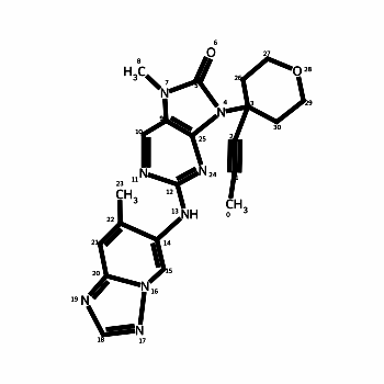 CC#CC1(n2c(=O)n(C)c3cnc(Nc4cn5ncnc5cc4C)nc32)CCOCC1